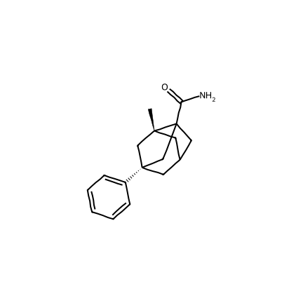 C[C@]12CC3CC1(C(N)=O)C[C@@](c1ccccc1)(C3)C2